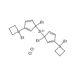 CC[C]1([Zr+2][C]2(CC)C=CC([Si]3(CC)CCC3)=C2)C=CC([Si]2(CC)CCC2)=C1.[Cl-].[Cl-]